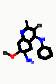 CCOc1cc2nc(C)c(C#N)c(Nc3ccccc3)c2cc1N